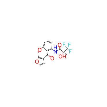 CC(O)(C(=O)Nc1cccc2c1C(=O)c1ccoc1CO2)C(F)(F)F